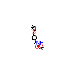 CC(NC(=O)OC(C)(C)C)C1CCC(CO[Si](C)(C)C(C)(C)C)CC1